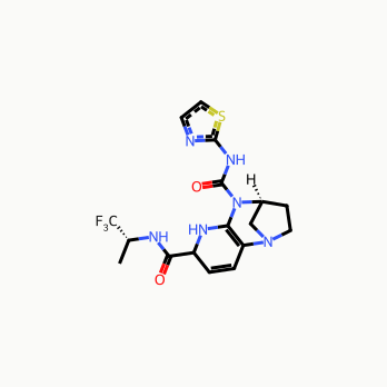 C[C@@H](NC(=O)C1C=CC2=C(N1)N(C(=O)Nc1nccs1)[C@H]1CCN2C1)C(F)(F)F